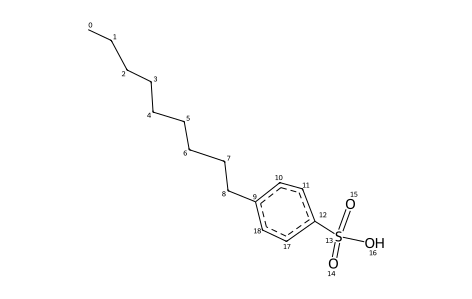 CCCCCCCCCc1ccc(S(=O)(=O)O)cc1